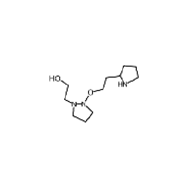 OCCN1CCCN1OCCC1CCCN1